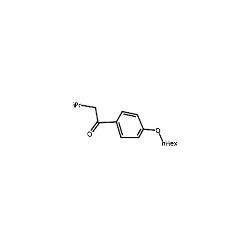 [CH2]C(C)CC(=O)c1ccc(OCCCCCC)cc1